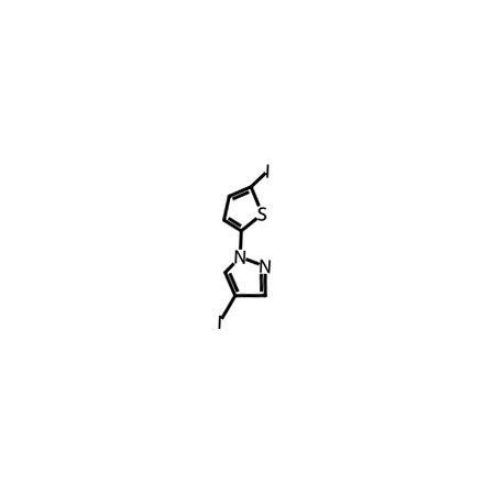 Ic1cnn(-c2ccc(I)s2)c1